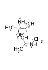 CCC(C)(N)O.CNC(C)O